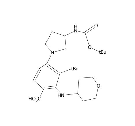 CC(C)(C)OC(=O)NC1CCN(c2ccc(C(=O)O)c(NC3CCOCC3)c2C(C)(C)C)C1